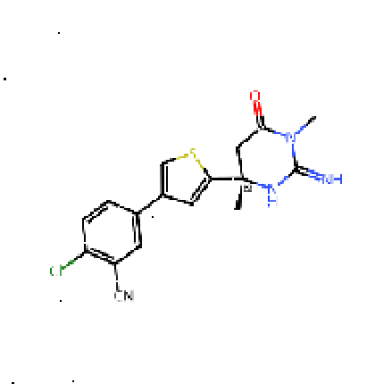 CN1C(=N)N[C@](C)(c2cc(-c3ccc(Cl)c(C#N)c3)cs2)CC1=O